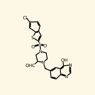 O=CC1CN(S(=O)(=O)c2cc3ccc(Cl)cc3s2)CCN1Cc1ccc2ncnc(O)c2c1